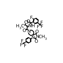 CC(C)[C@@H](NC(=O)c1cc(C(F)(F)F)ccc1F)C(=O)N1CCC2(CC1)C(=O)N(C)C(=O)N2c1ccc(C(F)(F)F)cc1